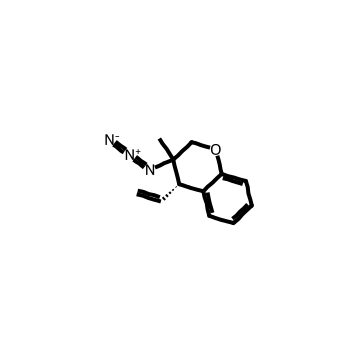 C=C[C@H]1c2ccccc2OCC1(C)N=[N+]=[N-]